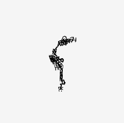 C=C(CCC(F)F)C1=C(CN2CCN(c3ccc(C(=O)NS(=O)(=O)c4ccc(NC(CCN5CCN(CCCCCNc6cccc7c6C(=O)N(C6CCC(=O)NC6=O)C7=O)CC5)CSc5ccccc5)c(S(=O)(=O)C(F)(F)F)c4)cc3)CC2)CCC(C)(C)C1